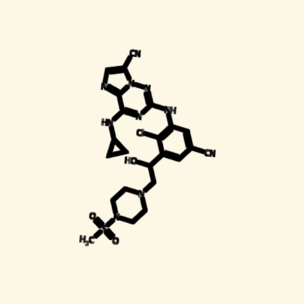 CS(=O)(=O)N1CCN(CC(O)c2cc(C#N)cc(Nc3nc(NC4CC4)c4ncc(C#N)n4n3)c2Cl)CC1